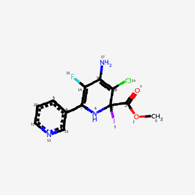 COC(=O)C1(I)NC(c2cccnc2)=C(F)C(N)=C1Cl